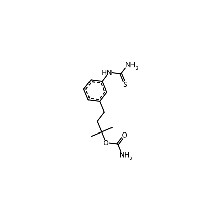 CC(C)(CCc1cccc(NC(N)=S)c1)OC(N)=O